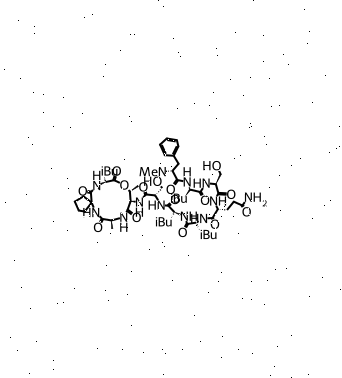 CC[C@H](C)[C@H](NC(=O)[C@@H](Cc1ccccc1)NC)C(=O)N[C@@H](CO)C(=O)N[C@H](CCC(N)=O)C(=O)N[C@@H](C(=O)N[C@H](C(=O)N[C@@H](CO)C(=O)N[C@H]1C(=O)N[C@@H](C)C(=O)NC2(CCCC2)C(=O)N[C@@H]([C@@H](C)CC)C(=O)O[C@H]1C)[C@@H](C)CC)[C@@H](C)CC